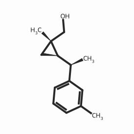 Cc1cccc([C@H](C)[C@H]2C[C@]2(C)CO)c1